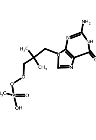 CC(C)(COOP(C)(=O)O)Cn1cnc2c(=O)[nH]c(N)nc21